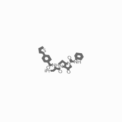 CC(C)CC(NC(=O)c1ccc(-c2cccs2)cc1)C(=O)N1CCC2C1C(=O)CN2C(=O)Nc1ccccc1